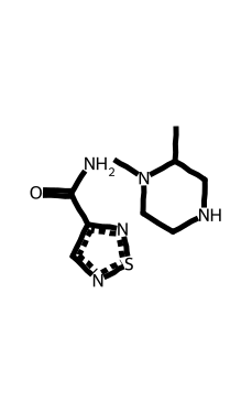 CC1CNCCN1C.NC(=O)c1cnsn1